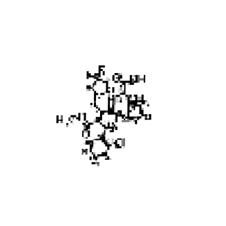 COC(=O)C1=C(CN2CC(F)(F)C[C@@H]2CC(C)C(=O)O)NC(c2nccs2)=N[C@H]1c1ccc(F)cc1Cl